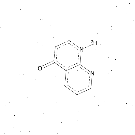 [2H]n1ccc(=O)c2cccnc21